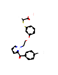 Cc1ccc(C(=O)c2cccn2CCOc2cccc(SC(C)C(=O)O)c2)cc1